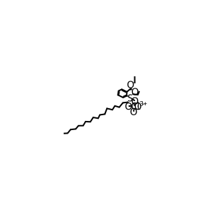 CCCCCCCCCCCCCCCCCCS(CCC)(O[Cl+3]([O-])([O-])[O-])c1ccccc1C(=O)OCC